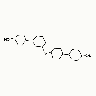 CC1CCC(C2CCC(OC3CCCC(C4CCC(O)CC4)C3)CC2)CC1